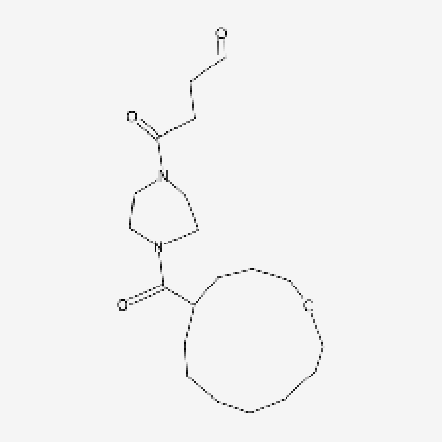 O=CCCC(=O)N1CCN(C(=O)C2CCCCCCCCCCC2)CC1